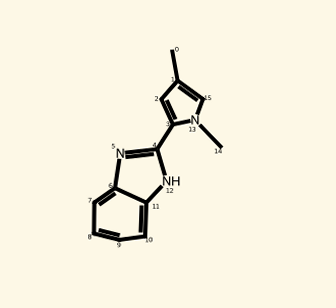 Cc1cc(-c2nc3ccccc3[nH]2)n(C)c1